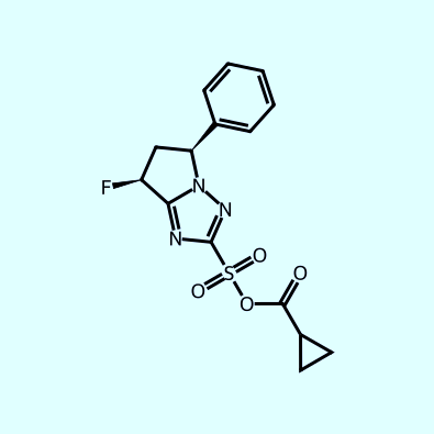 O=C(OS(=O)(=O)c1nc2n(n1)[C@H](c1ccccc1)C[C@@H]2F)C1CC1